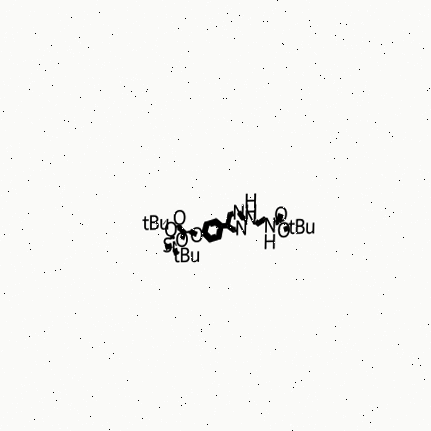 CC(C)(C)OC(=O)NCCNC1=NCC(c2ccc(OC[C@@H](O[Si](C)(C)C(C)(C)C)C(=O)OC(C)(C)C)cc2)CN1